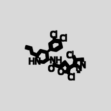 C=CCC1C[C@@H](c2ccc(Cl)c(Cl)c2)[C@H](NC(=O)c2cc(-c3c(Cl)cnn3C)c(Cl)o2)CN1